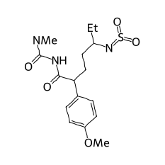 CCC(CCC(C(=O)NC(=O)NC)c1ccc(OC)cc1)N=S(=O)=O